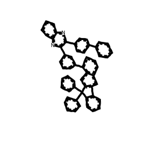 c1ccc(-c2ccc(-c3nc4ccccc4nc3-c3cccc(-c4cccc5cc6c(cc45)C(c4ccccc4)(c4ccccc4)c4ccccc4-6)c3)cc2)cc1